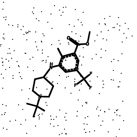 COC(=O)c1cc(C(F)(F)F)cc(NC2CCN(C(C)(C)C)CC2)c1C